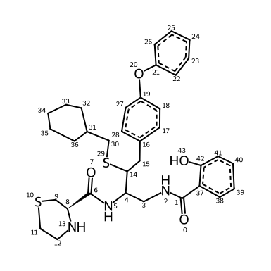 O=C(NCC(NC(=O)[C@@H]1CSCCN1)C(Cc1ccc(Oc2ccccc2)cc1)SCC1CCCCC1)c1ccccc1O